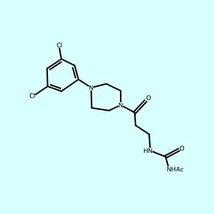 CC(=O)NC(=O)NCCC(=O)N1CCN(c2cc(Cl)cc(Cl)c2)CC1